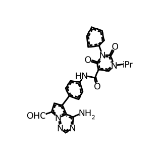 CC(C)n1cc(C(=O)Nc2ccc(-c3cc(C=O)n4ncnc(N)c34)cc2)c(=O)n(-c2ccccc2)c1=O